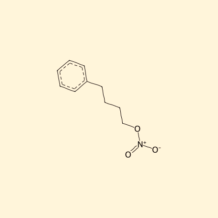 O=[N+]([O-])OCCCCc1ccccc1